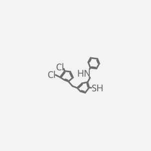 Sc1ccc(Cc2ccc(Cl)c(Cl)c2)cc1CNc1ccccc1